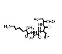 CC(=O)CC(C=O)NC(=O)C(CC(C)C)NC(=O)C(NC(=O)C(N)CCCCN)C(C)C